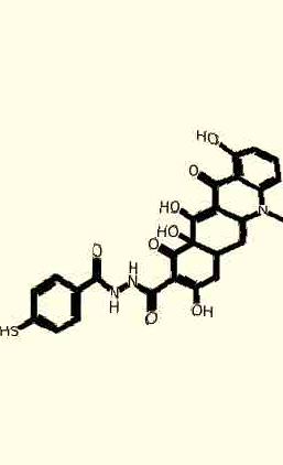 CN1c2cccc(O)c2C(=O)C2=C(O)C3(O)C(=O)C(C(=O)NNC(=O)c4ccc(S)cc4)=C(O)CC3CC21